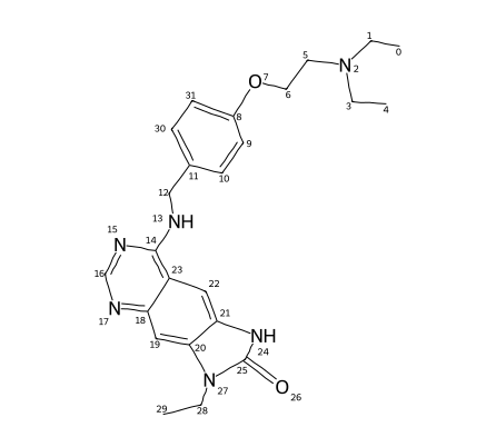 CCN(CC)CCOc1ccc(CNc2ncnc3cc4c(cc23)[nH]c(=O)n4CC)cc1